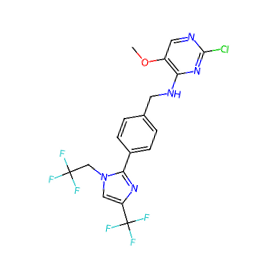 COc1cnc(Cl)nc1NCc1ccc(-c2nc(C(F)(F)F)cn2CC(F)(F)F)cc1